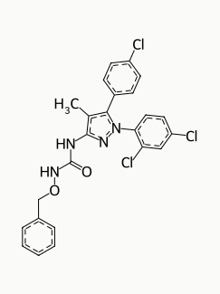 Cc1c(NC(=O)NOCc2ccccc2)nn(-c2ccc(Cl)cc2Cl)c1-c1ccc(Cl)cc1